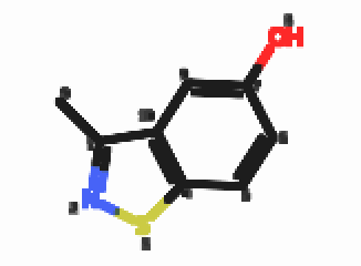 Cc1nsc2ccc(O)cc12